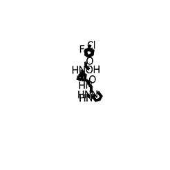 O=C(NCC1NNC2CCCCN21)C1CC(NC(O)COc2ccc(Cl)c(F)c2)C2CC1C2